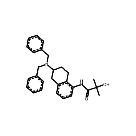 CC(C)(O)C(=O)Nc1cccc2c1CCC(N(Cc1ccccc1)Cc1ccccc1)C2